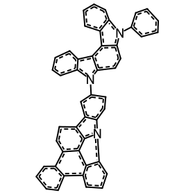 c1ccc(-n2c3ccccc3c3c4c5ccccc5n(-c5ccc6c(c5)c5ccc7c8ccccc8c8cccc9c8c7c5n69)c4ccc32)cc1